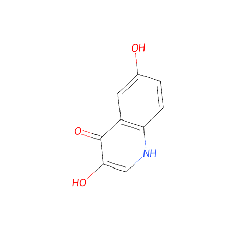 O=c1c(O)c[nH]c2ccc(O)cc12